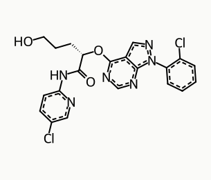 O=C(Nc1ccc(Cl)cn1)[C@H](CCCO)Oc1ncnc2c1cnn2-c1ccccc1Cl